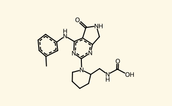 Cc1cccc(Nc2nc(N3CCCCC3CNC(=O)O)nc3c2C(=O)NC3)c1